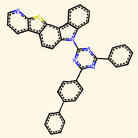 c1ccc(-c2ccc(-c3nc(-c4ccccc4)nc(-n4c5ccccc5c5c6sc7ncccc7c6ccc54)n3)cc2)cc1